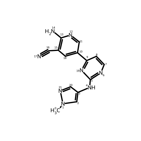 Cn1cc(Nc2nccc(-c3cnc(N)c(C#N)c3)n2)cn1